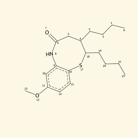 CCCCC1CC(=O)Nc2cc(OC)ccc2SC1CCCC